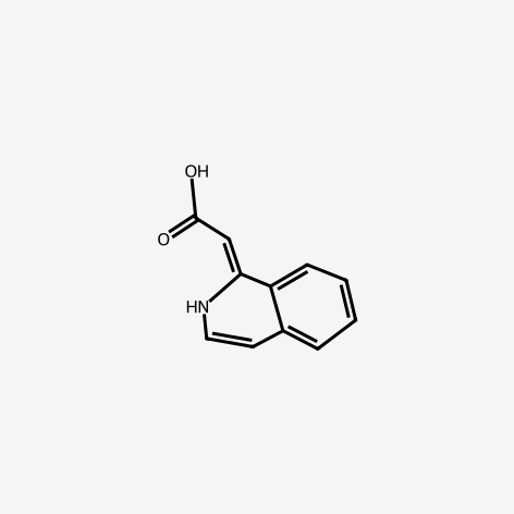 O=C(O)C=C1NC=Cc2ccccc21